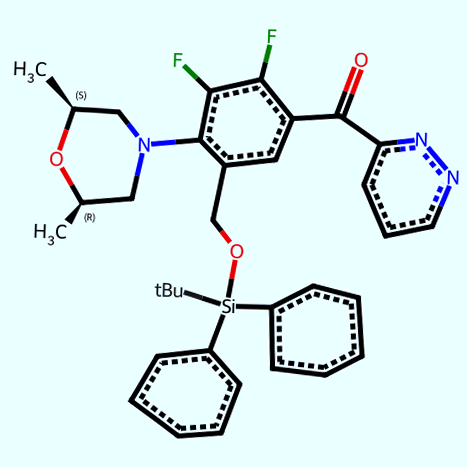 C[C@@H]1CN(c2c(CO[Si](c3ccccc3)(c3ccccc3)C(C)(C)C)cc(C(=O)c3cccnn3)c(F)c2F)C[C@H](C)O1